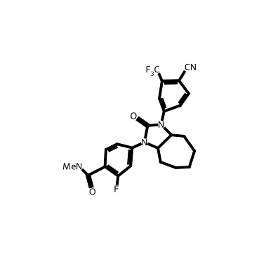 CNC(=O)c1ccc(N2C(=O)N(c3ccc(C#N)c(C(F)(F)F)c3)C3CCCCCC32)cc1F